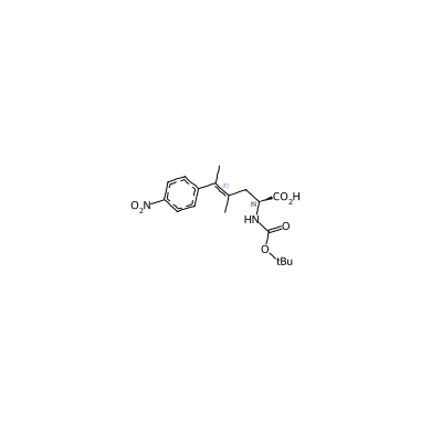 C/C(C[C@H](NC(=O)OC(C)(C)C)C(=O)O)=C(/C)c1ccc([N+](=O)[O-])cc1